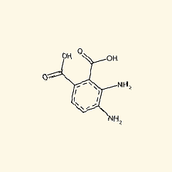 Nc1ccc(C(=O)O)c(C(=O)O)c1N